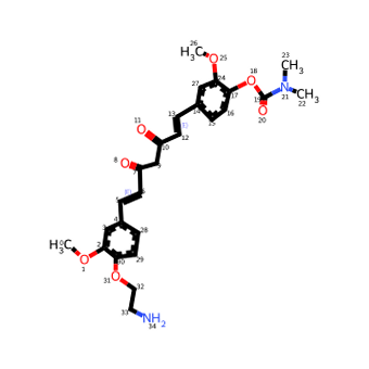 COc1cc(/C=C/C(=O)CC(=O)/C=C/c2ccc(OC(=O)N(C)C)c(OC)c2)ccc1OCCN